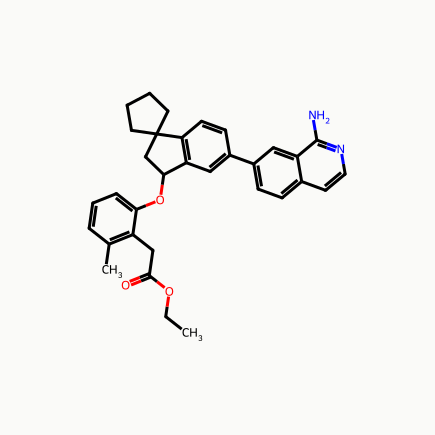 CCOC(=O)Cc1c(C)cccc1OC1CC2(CCCC2)c2ccc(-c3ccc4ccnc(N)c4c3)cc21